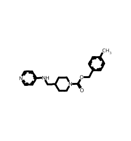 Cc1ccc(COC(=O)N2CCC(CNc3ccncc3)CC2)cc1